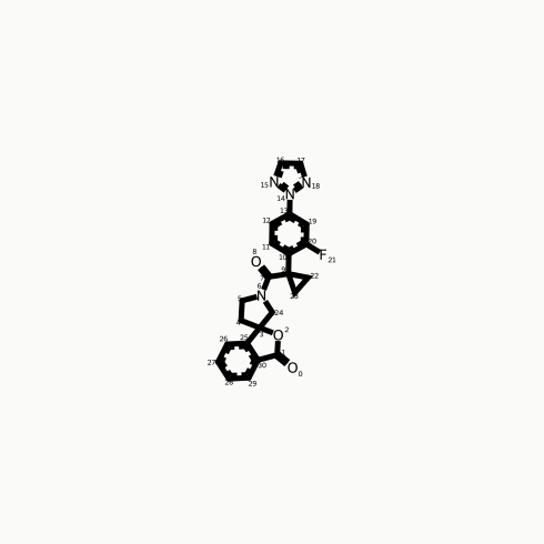 O=C1OC2(CCN(C(=O)C3(c4ccc(-n5nccn5)cc4F)CC3)C2)c2ccccc21